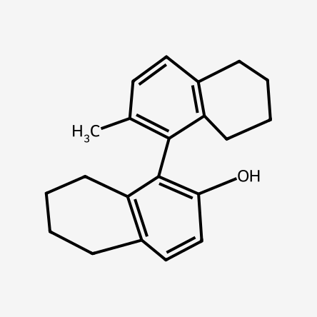 Cc1ccc2c(c1-c1c(O)ccc3c1CCCC3)CCCC2